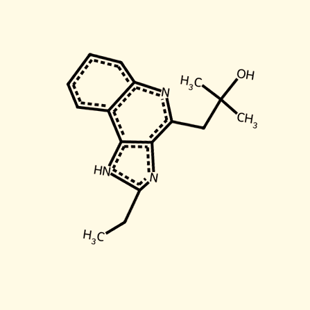 CCc1nc2c(CC(C)(C)O)nc3ccccc3c2[nH]1